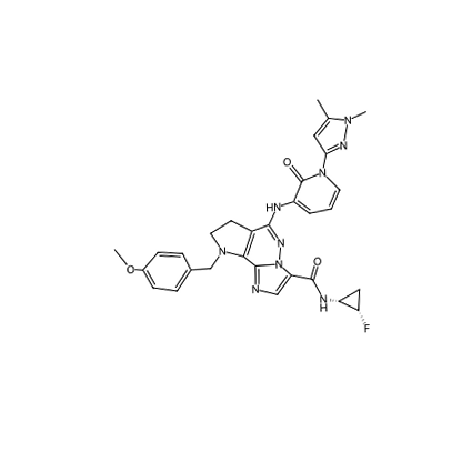 COc1ccc(CN2CCc3c(Nc4cccn(-c5cc(C)n(C)n5)c4=O)nn4c(C(=O)N[C@@H]5C[C@@H]5F)cnc4c32)cc1